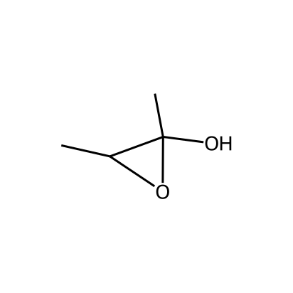 CC1OC1(C)O